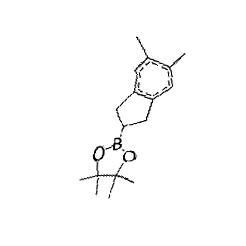 Cc1cc2c(cc1C)CC(B1OC(C)(C)C(C)(C)O1)C2